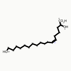 O=C(O)C(O)CCC/C=C\CCCCCCCCCCCO